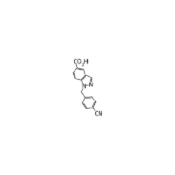 N#Cc1ccc(Cn2ncc3cc(C(=O)O)ccc32)cc1